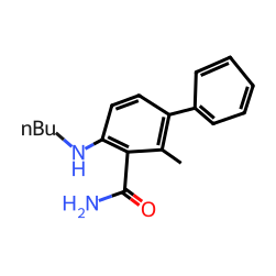 CCCCNc1ccc(-c2ccccc2)c(C)c1C(N)=O